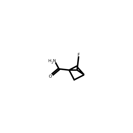 NC(=O)C12CC(C1)C2F